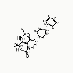 CCNc1c(C(=O)N[C@H]2CC[C@@H](c3ccccc3)CC2)[nH]c(=O)[nH]c1=O